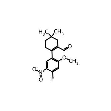 COc1cc(F)c([N+](=O)[O-])cc1C1=C(C=O)CC(C)(C)CC1